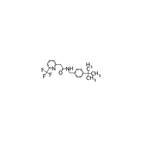 CC(C)(C)c1ccc(CNC(=O)Cc2cccc(C(F)(F)F)n2)cc1